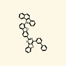 c1ccc(-c2cccc(-c3nc(-c4ccc5c(c4)oc4c(-n6c7ccccc7c7ccc8ccccc8c76)cccc45)nc4c3sc3ccccc34)c2)cc1